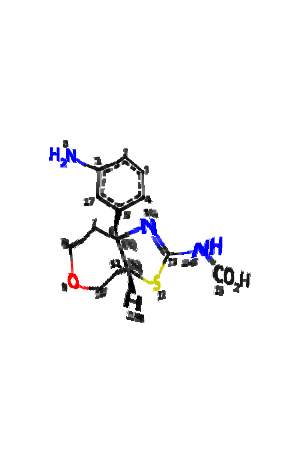 Nc1cccc([C@]23CCOC[C@H]2SC(NC(=O)O)=N3)c1